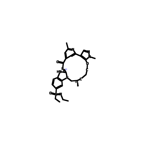 CCN=S(=O)(CC)c1ccc2c(c1)N1C[C@H](C)CCCOc3c(cnn3C)-c3cc(cc(C)n3)C(=O)/N=C/1N2